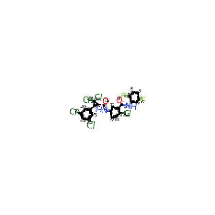 O=C(Nc1cc(F)ccc1F)c1cc(NC(=O)[C@@H]2[C@@H](c3cc(Cl)cc(Cl)c3)C2(Cl)Cl)ccc1Cl